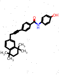 CC1(C)CCC(C)(C)c2cc(CC#Cc3ccc(C(=O)Nc4ccc(O)cc4)cc3)ccc21